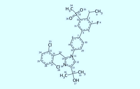 CCc1c(F)cc(-c2ccc(-n3cc(C(C)(C)O)nc3Cc3c(Cl)cccc3Cl)cc2)cc1S(C)(=O)=O